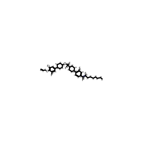 C=CCOc1c(F)cc(C2CCC(OC(F)(F)C3CCC(c4ccc(/C(F)=C(\F)CCCCCCC)cc4F)CC3)CC2)cc1F